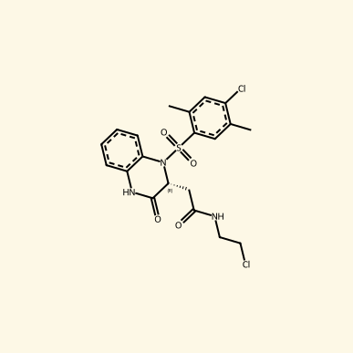 Cc1cc(S(=O)(=O)N2c3ccccc3NC(=O)[C@H]2CC(=O)NCCCl)c(C)cc1Cl